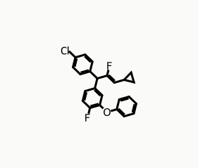 FC(=CC1CC1)C(c1ccc(Cl)cc1)c1ccc(F)c(Oc2ccccc2)c1